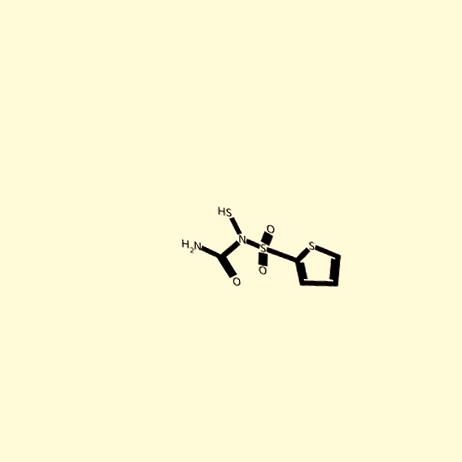 NC(=O)N(S)S(=O)(=O)c1cccs1